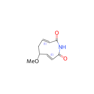 COC1/C=C/C(=O)NC(=O)/C=C/C1